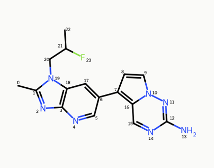 Cc1nc2ncc(-c3ccn4nc(N)ncc34)cc2n1CC(C)F